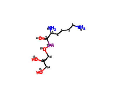 NCCCCC(N)C(=O)POCC(O)CO